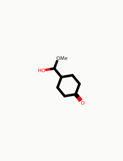 COC(O)C1CCC(=O)CC1